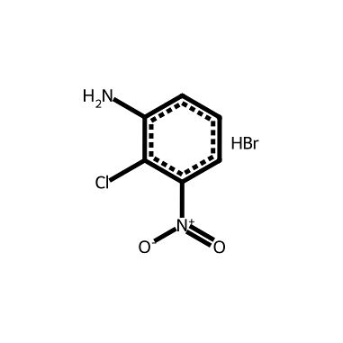 Br.Nc1cccc([N+](=O)[O-])c1Cl